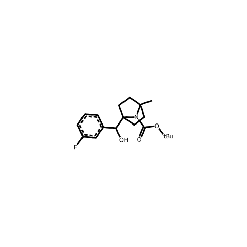 CC(C)(C)OC(=O)N1C2(C)CCC1(C(O)c1cccc(F)c1)CC2